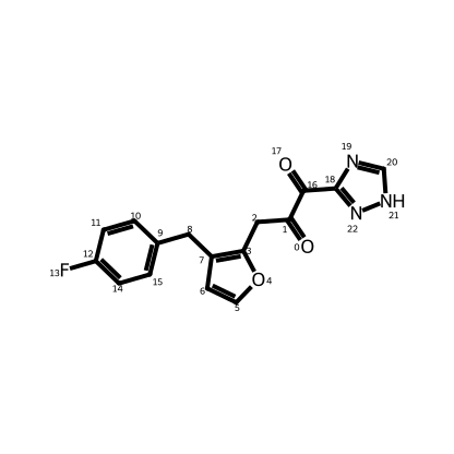 O=C(Cc1occc1Cc1ccc(F)cc1)C(=O)c1nc[nH]n1